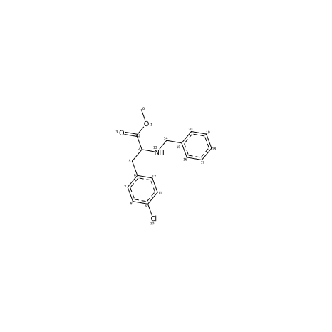 COC(=O)C(Cc1ccc(Cl)cc1)NCc1ccccc1